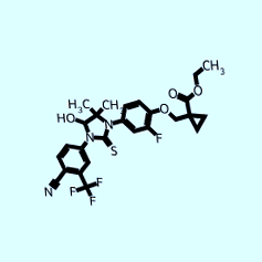 CCOC(=O)C1(COc2ccc(N3C(=S)N(c4ccc(C#N)c(C(F)(F)F)c4)C(O)C3(C)C)cc2F)CC1